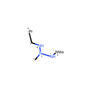 CNNN(C)NCC(C)C